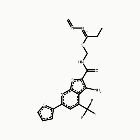 C=N/N=C(/CC)SCNC(=O)c1sc2nc(-c3cccs3)cc(C(F)(F)F)c2c1N